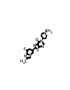 Cc1cn2cc(-c3nc4c(=O)n(C5CCN(C)CC5)cnc4s3)cc(F)c2n1